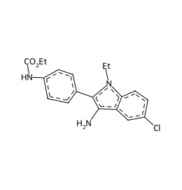 CCOC(=O)Nc1ccc(-c2c(N)c3cc(Cl)ccc3n2CC)cc1